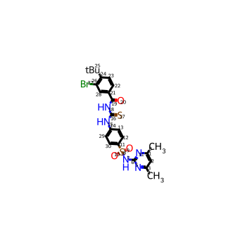 Cc1cc(C)nc(NS(=O)(=O)c2ccc(NC(=S)NC(=O)c3ccc(C(C)(C)C)c(Br)c3)cc2)n1